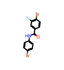 O=C(Nc1ccc(Br)cc1)c1ccc(Br)c(F)c1